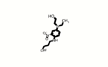 CCN(CCO)c1ccc(NCCCO)c([N+](=O)[O-])c1